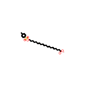 COC(=O)CCCC=CCC=CCC=CCC=CCCCCCOS(=O)(=O)c1ccc(C)cc1